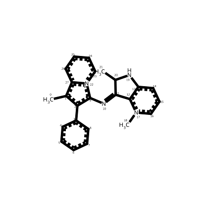 Cc1c(-c2ccccc2)c(N=C2c3c(ccc[n+]3C)NC2C)n2ccccc12